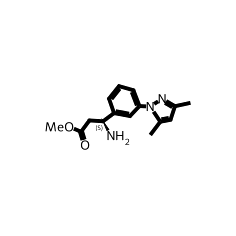 COC(=O)C[C@H](N)c1cccc(-n2nc(C)cc2C)c1